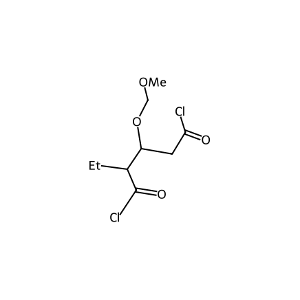 CCC(C(=O)Cl)C(CC(=O)Cl)OCOC